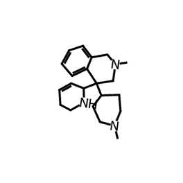 CN1CCC(C2(C3C=CCCN3)CN(C)Cc3ccccc32)CC1